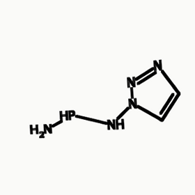 NPNn1ccnn1